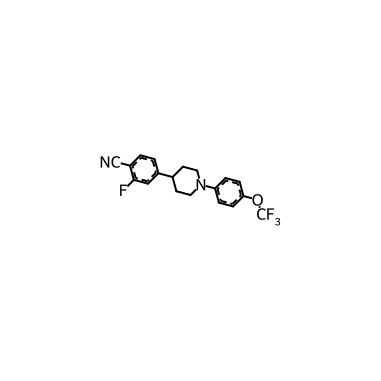 N#Cc1ccc(C2CCN(c3ccc(OC(F)(F)F)cc3)CC2)cc1F